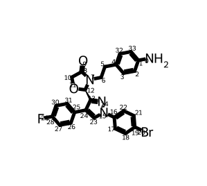 Nc1ccc(CCN2C(=O)CO[C@@H]2c2nn(-c3ccc(Br)cc3)cc2-c2ccc(F)cc2)cc1